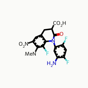 CNc1c([N+](=O)[O-])cc2c(c1F)N(c1cc(N)c(F)cc1F)C(=O)C(C(=O)O)C2